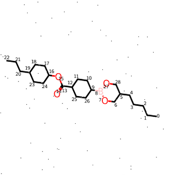 CCCCCC1COB(C2CCC(C(=O)OC3CCC(CCC)CC3)CC2)OC1